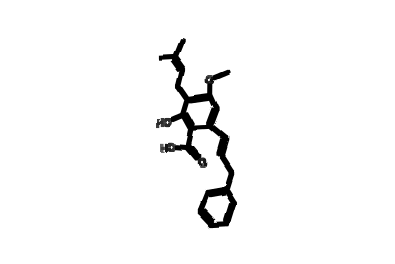 COc1cc(/C=C/Cc2ccccc2)c(C(=O)O)c(O)c1CC=C(C)C